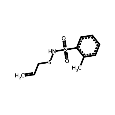 C=CCSNS(=O)(=O)c1ccccc1C